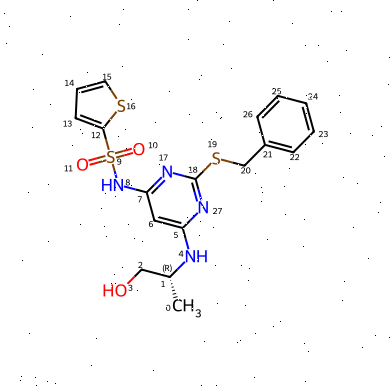 C[C@H](CO)Nc1cc(NS(=O)(=O)c2cccs2)nc(SCc2ccccc2)n1